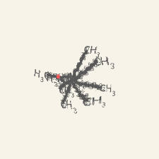 CCCCCCCCCC[N](CCCCCCCCCC)[Ti]([O]CC(CC)CCCC)([N](CCCCCCCCCC)CCCCCCCCCC)[N](CCCCCCCCCC)CCCCCCCCCC